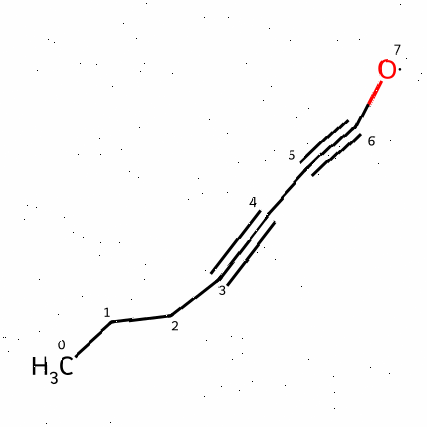 CCCC#CC#C[O]